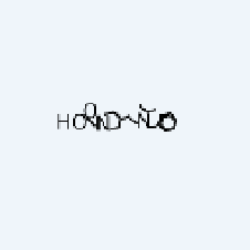 CC(C)N(CCC1CCN(CC(=O)O)CC1)Cc1ccccc1